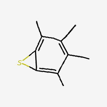 Cc1c(C)c(C)c2c(c1C)S2